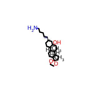 C[C@]12CC[C@H]3[C@@H](CC[C@@]4(O)C[C@H](/C=C/CCCN)CC[C@]34C)[C@@H]1CCC21OCCO1